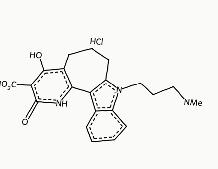 CNCCCn1c2c(c3ccccc31)-c1[nH]c(=O)c(C(=O)O)c(O)c1CCC2.Cl